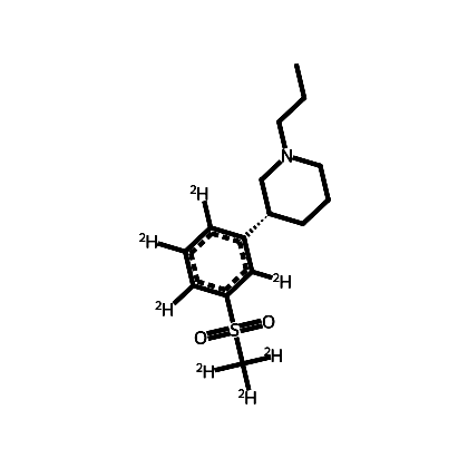 [2H]c1c([2H])c([C@H]2CCCN(CCC)C2)c([2H])c(S(=O)(=O)C([2H])([2H])[2H])c1[2H]